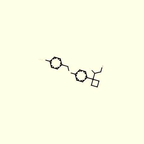 COc1ccc(COc2ccc(C3(C(N)CC(C)C)CCC3)cc2)cc1